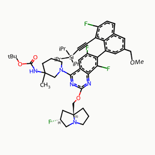 COCc1cc(-c2c(F)cc3c(N4CCCC(C)(NC(=O)OC(C)(C)C)C4)nc(OC[C@@]45CCCN4C[C@H](F)C5)nc3c2F)c2c(C#C[Si](C(C)C)(C(C)C)C(C)C)c(F)ccc2c1